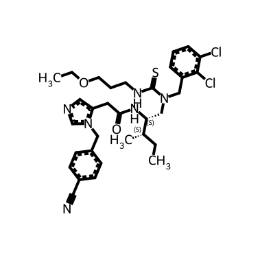 CCOCCCNC(=S)N(Cc1cccc(Cl)c1Cl)C[C@@H](NC(=O)Cc1cncn1Cc1ccc(C#N)cc1)[C@@H](C)CC